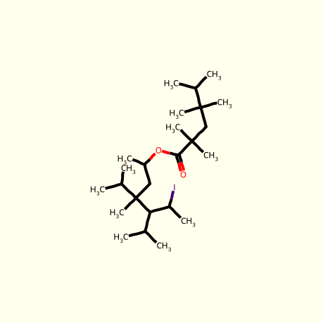 CC(CC(C)(C(C)C)C(C(C)C)C(C)I)OC(=O)C(C)(C)CC(C)(C)C(C)C